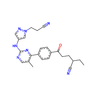 CCC(C#N)CCC(=O)c1ccc(-c2nc(Nc3cnn(CCC#N)c3)ncc2C)cc1